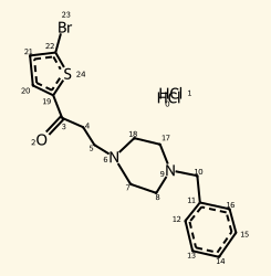 Cl.Cl.O=C(CCN1CCN(Cc2ccccc2)CC1)c1ccc(Br)s1